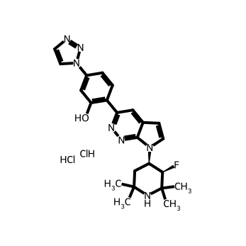 CC1(C)C[C@@H](n2ccc3cc(-c4ccc(-n5ccnn5)cc4O)nnc32)[C@@H](F)C(C)(C)N1.Cl.Cl